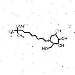 COC(C)(C)CCCCCCCCN1CC(O)C(O)C(O)C1CO